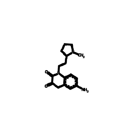 CN1CCCC1CCN1C(=O)C(=O)Cc2cc(N)ccc21